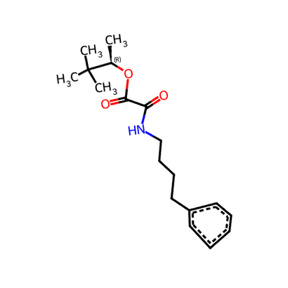 C[C@@H](OC(=O)C(=O)NCCCCc1ccccc1)C(C)(C)C